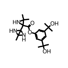 CC(C)(O)c1cc(OC(=O)C2(C34NC3(C)N4)NC2(C)C)cc(C(C)(C)O)c1